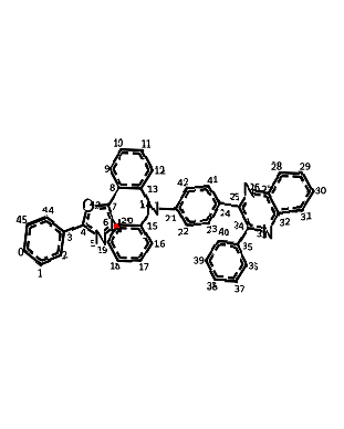 c1ccc(-c2nnc(-c3ccccc3N(c3ccccc3)c3ccc(-c4nc5ccccc5nc4-c4ccccc4)cc3)o2)cc1